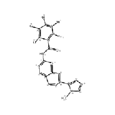 [2H]c1c([2H])c([2H])c(C(=O)Nc2ncc3ccc(-c4cncn4C)cc3n2)c(Cl)c1[2H]